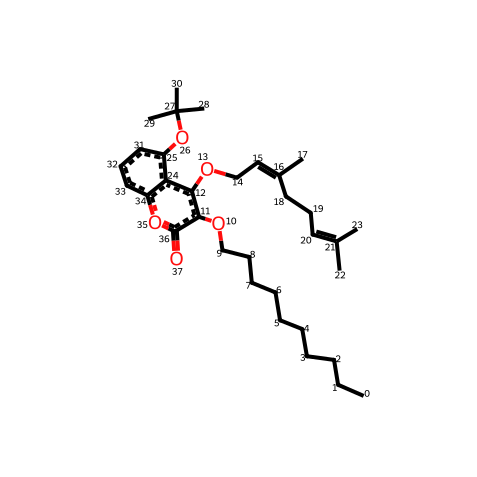 CCCCCCCCCCOc1c(OCC=C(C)CCC=C(C)C)c2c(OC(C)(C)C)cccc2oc1=O